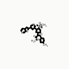 CNC(=O)c1c(-c2ccc(C)cc2)oc2cc(N(C)S(C)(=O)=O)c(-c3cncc(-c4cc5ccncc5s4)c3)cc12